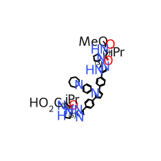 COC(=O)N[C@H](C(=O)N1CCC[C@H]1c1ncc(-c2ccc(-c3ccc(-c4ccc(-c5cnc([C@@H]6CCCN6C(=O)[C@@H](NC(=O)O)C(C)C)[nH]5)cc4)n3-c3ccc(N4CCCCCC4)cc3)cc2)[nH]1)C(C)C